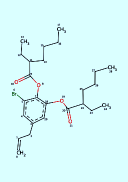 C=CCc1cc(Br)c(OC(=O)C(CC)CCCC)c(OC(=O)C(CC)CCCC)c1